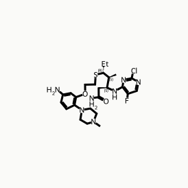 CC[C@@H](SCCOc1cc(N)ccc1N1CCN(C)CC1)[C@@H](C)[C@H](CC(N)=O)Nc1nc(Cl)ncc1F